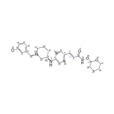 O=C(/C=C/c1cnc(N[C@@H]2CCCN(Cc3cccc(Cl)c3)C2)cn1)NOC1CCCCO1